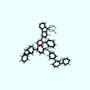 CC1(C)c2ccccc2-c2cc(-c3ccccc3-c3ccccc3N(c3ccc(-c4ccc5sc6ccccc6c5c4)cc3)c3ccc(-c4cccc5c4oc4ccccc45)cc3)ccc21